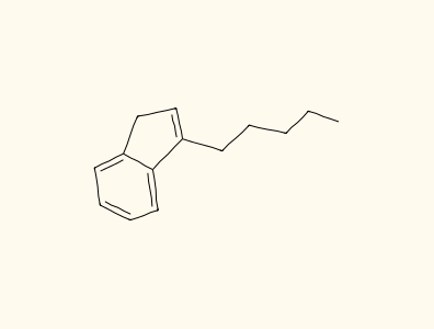 CCCCCC1=CCc2ccccc21